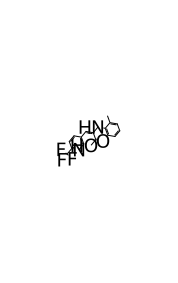 Cc1ccccc1NC(=Cc1ccc(C(F)(F)F)nc1)C(=O)O